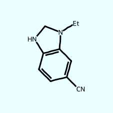 CCN1CNc2ccc(C#N)cc21